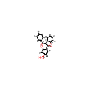 Cc1ccc(C(=O)c2c(-c3ccc(O)cc3)oc3ccccc23)cc1